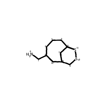 NCC1CCCC2CC(CSS2)C1